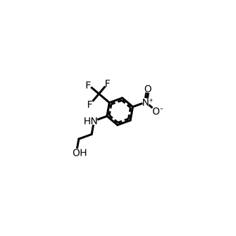 O=[N+]([O-])c1ccc(NCCO)c(C(F)(F)F)c1